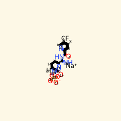 N=C(NC(=O)c1ccc(C(F)(F)F)cn1)[C@@H]1CC[C@@H]2CN1C(=O)N2OS(=O)(=O)[O-].[Na+]